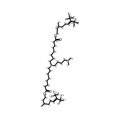 CC(CCC=C(C(F)(F)F)C(F)(F)F)CCOC(=O)CCCCCCCP(CCCCCCCC(=O)OCCC(C)CCC=C(C(F)(F)F)C(F)(F)F)CCCCN(C)C